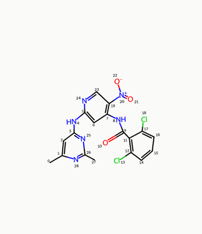 Cc1cc(Nc2cc(NC(=O)c3c(Cl)cccc3Cl)c([N+](=O)[O-])cn2)nc(C)n1